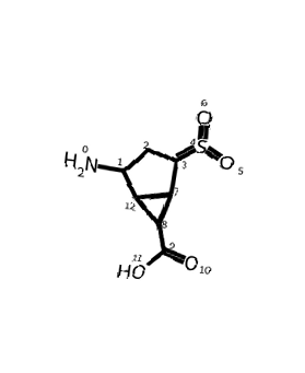 NC1CC(=S(=O)=O)C2C(C(=O)O)C12